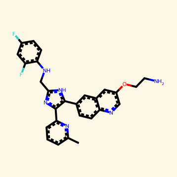 Cc1cccc(-c2nc(CNc3ccc(F)cc3F)[nH]c2-c2ccc3ncc(OCCN)cc3c2)n1